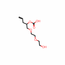 C=CCC(COCCOCCO)OC(=O)O